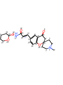 CN1CCC2(CC1)CC(=O)c1cc(/C=C/C(=O)NOC3CCCCO3)ccc1O2